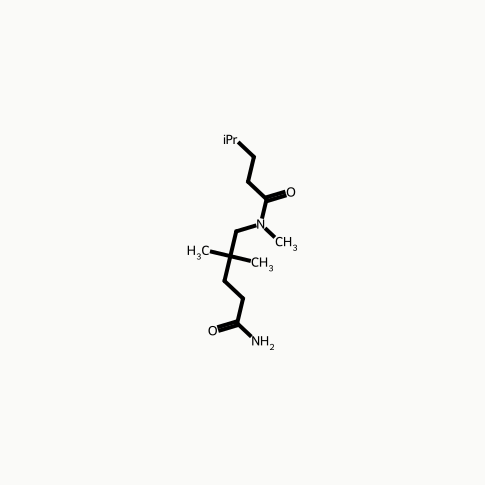 CC(C)CCC(=O)N(C)CC(C)(C)CCC(N)=O